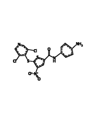 Nc1ccc(NC(=O)c2cc([N+](=O)[O-])c(Sc3c(Cl)cncc3Cl)s2)cc1